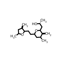 C=C1CC(C)OC1CCC1CC(C)C(=C)C(C[C@@H](C)O)O1